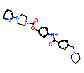 O=C(Nc1ccc(OC(=O)N2CCN(c3ccccn3)CC2)cc1)c1ccc(CN2CCCCC2)cc1